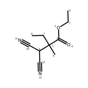 CCOC(=O)C(C)(CC)C(C#N)C#N